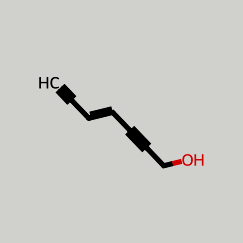 C#CC=CC#CCO